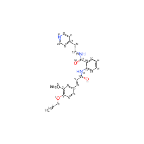 C#CCOc1ccc(C=CC(=O)Nc2ccccc2C(=O)NCCc2ccncc2)cc1OC